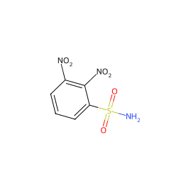 NS(=O)(=O)c1cccc([N+](=O)[O-])c1[N+](=O)[O-]